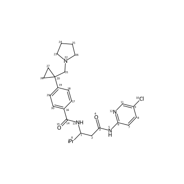 CC(C)C(CC(=O)Nc1ccc(Cl)cn1)NC(=O)c1ccc(C2(CN3CCCC3)CC2)cc1